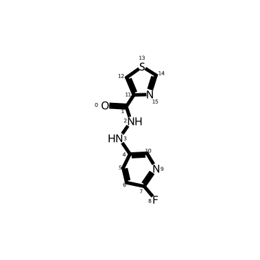 O=C(NNc1ccc(F)nc1)c1cscn1